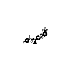 O=C(CN(C1CC1)C1CCN(S(=O)(=O)c2cccc(C(F)(F)F)c2)CC1)Nc1ccc(F)cc1